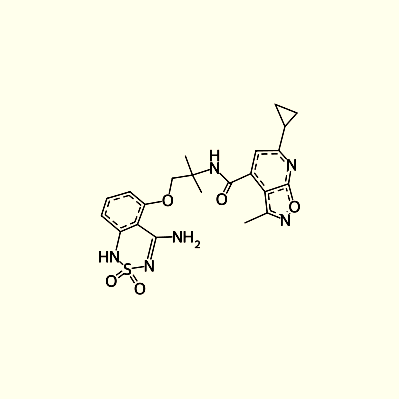 Cc1noc2nc(C3CC3)cc(C(=O)NC(C)(C)COc3cccc4c3C(N)=NS(=O)(=O)N4)c12